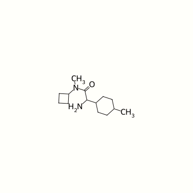 CC1CCC(C(N)C(=O)N(C)C2CCC2)CC1